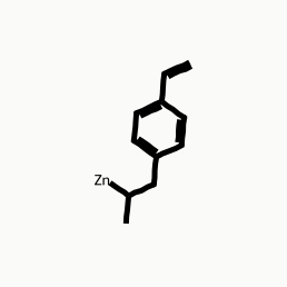 C=Cc1ccc(C[CH](C)[Zn])cc1